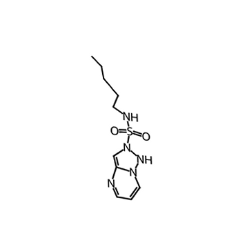 CCCCCNS(=O)(=O)N1C=C2N=CC=CN2N1